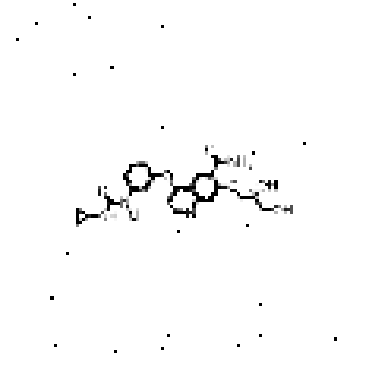 NC(=O)c1cc2c(Oc3cccc(N(Cl)C(=O)NC4CC4)c3)ccnc2cc1OC[C@@H](O)CO